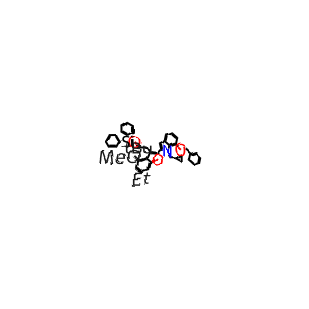 CCc1cc(OC)c2c(CCO[Si](c3ccccc3)(c3ccccc3)C(C)(C)C)c(-c3cc4cccc(OCc5ccccc5)c4n3CC3CC3)oc2c1